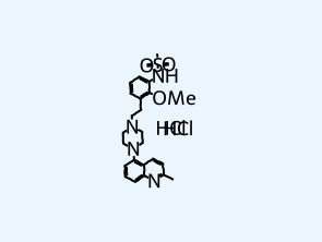 COc1c(CCN2CCN(c3cccc4nc(C)ccc34)CC2)cccc1NS(C)(=O)=O.Cl.Cl